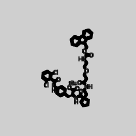 CC(C)(C)OC(=O)[C@H](Cc1ccc(NC(=O)c2c(Cl)cccc2Cl)cc1)NC(=O)C1(CCNC(=O)CCOCCNC(=O)OCC2c3ccccc3-c3ccccc32)CCCC1